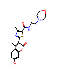 Cc1nc(-c2c(C)c3ccc(O)cc3oc2=O)sc1C(=O)NCCN1CCOCC1